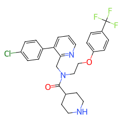 O=C(C1CCNCC1)N(CCOc1ccc(C(F)(F)F)cc1)Cc1ncccc1-c1ccc(Cl)cc1